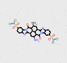 Nc1cc2c3c(c([N+](=O)[O-])cc4c3c1c(=O)n1c3cc(S(=O)(=O)N(Cl)Cl)ccc3nc41)c(=O)n1c3cc(S(=O)(=O)N(Cl)Cl)ccc3nc21